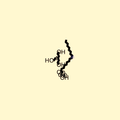 CCCCCCCC/C=C\CCCCCCCC(=O)OS(=O)(=O)O.OCCN(CCO)CCO